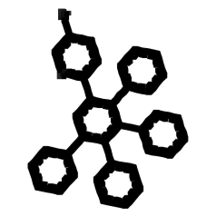 Brc1ccc(-c2cc(-c3ccccc3)c(-c3ccccc3)c(-c3ccccc3)c2-c2ccccc2)nc1